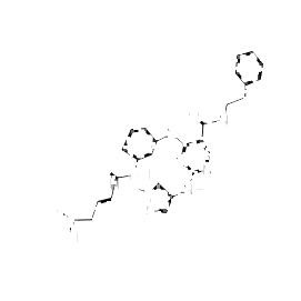 CN(C)CC=CC(=O)Nc1cccc(Nc2nc(Nc3cnn(C)c3)ncc2C(=O)NCCc2ccccc2)c1